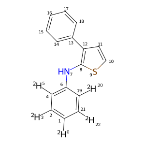 [2H]c1c([2H])c([2H])c(Nc2sccc2-c2ccccc2)c([2H])c1[2H]